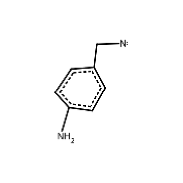 [N]Cc1ccc(N)cc1